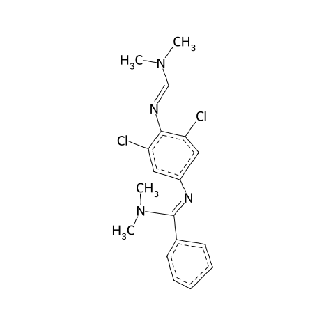 CN(C)C=Nc1c(Cl)cc(N=C(c2ccccc2)N(C)C)cc1Cl